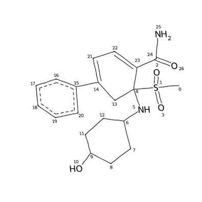 CS(=O)(=O)C1(NC2CCC(O)CC2)CC(c2ccccc2)=CC=C1C(N)=O